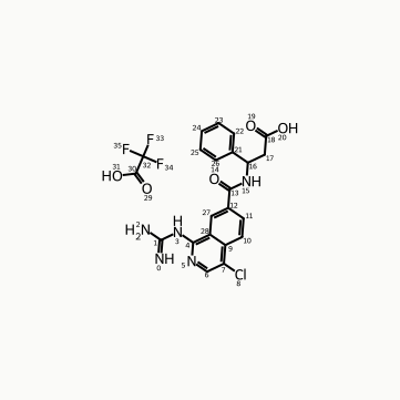 N=C(N)Nc1ncc(Cl)c2ccc(C(=O)NC(CC(=O)O)c3ccccc3)cc12.O=C(O)C(F)(F)F